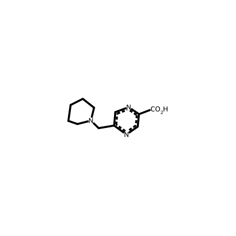 O=C(O)c1cnc(CN2CCCCC2)cn1